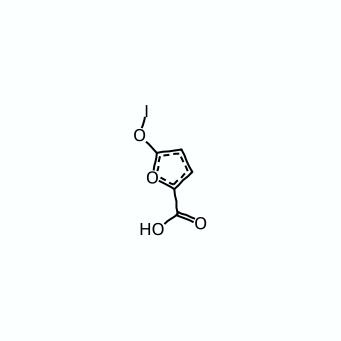 O=C(O)c1ccc(OI)o1